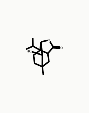 CC(C)C12CCC3(C)CC1C(=O)OC2C3O